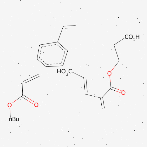 C=C(C=CC(=O)O)C(=O)OCCC(=O)O.C=CC(=O)OCCCC.C=Cc1ccccc1